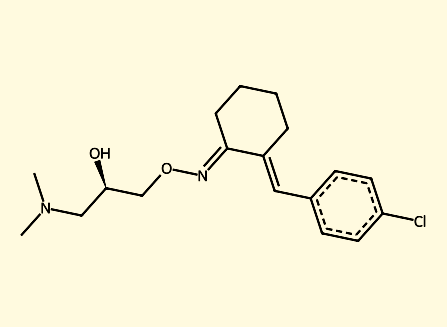 CN(C)C[C@@H](O)CO/N=C1\CCCC\C1=C/c1ccc(Cl)cc1